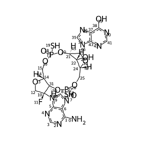 Nc1ncnc2c1ncn2[C@]1(F)CO[C@@H]2COP(=O)(S)O[C@@H]3[C@H](O)[C@@H](COP(=O)(S)O[C@H]21)O[C@H]3n1cnc2c(O)ncnc21